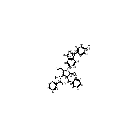 CCC1C(NC(=O)c2ncccn2)C(Cc2ccccc2)C(=O)N1c1ccc2c(cnn2-c2ccc(F)cc2)c1